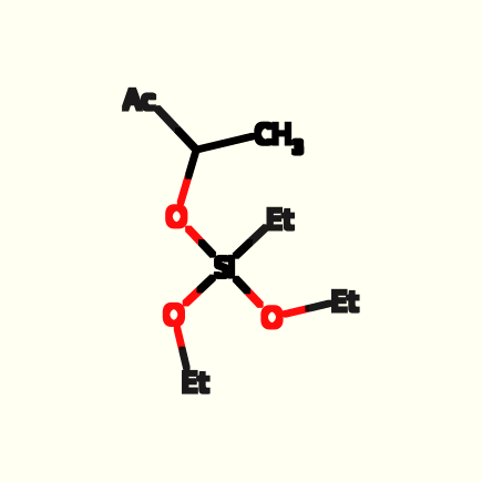 CCO[Si](CC)(OCC)OC(C)C(C)=O